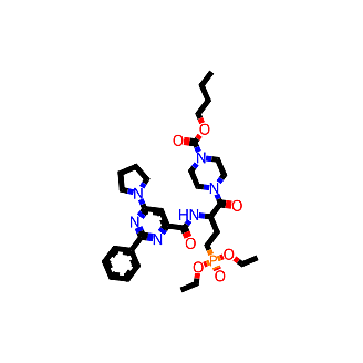 CCCCOC(=O)N1CCN(C(=O)C(CCP(=O)(OCC)OCC)NC(=O)c2cc(N3CCCC3)nc(-c3ccccc3)n2)CC1